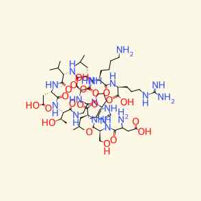 CC(C)C[C@H](NC(=O)[C@@H]1CCCN1C(=O)[C@H](CC(C)C)NC(=O)[C@H](CO)NC(=O)[C@@H](N)CC(=O)O)C(=O)N[C@H](C(=O)N[C@@H](CC(=O)O)C(=O)N[C@H](C(=O)N[C@@H](Cc1c[nH]cn1)C(=O)N[C@@H](CO)C(=O)N[C@@H](CCCCN)C(=O)N[C@@H](CCCNC(=N)N)C(=O)O)[C@@H](C)O)C(C)C